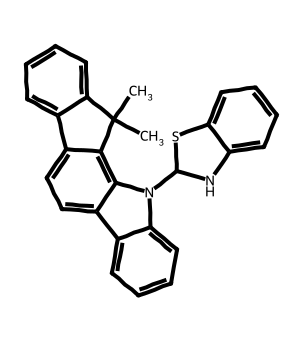 CC1(C)c2ccccc2-c2ccc3c4ccccc4n(C4Nc5ccccc5S4)c3c21